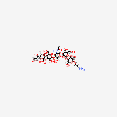 CC(=O)NC1[C@H](O[C@@H]2C(O)[C@H](O[C@@H]3C(CO)O[C@@H](OCCCN)C(O)[C@@H]3O)OC(CO)[C@@H]2O)OC(CO)[C@@H](O[C@@H]2OC(CO)[C@H](O)[C@H](O[C@]3(C(=O)O)C[C@@H](O)[C@@H](C)C([C@H](O)[C@H](O)CO)O3)C2O)[C@H]1O